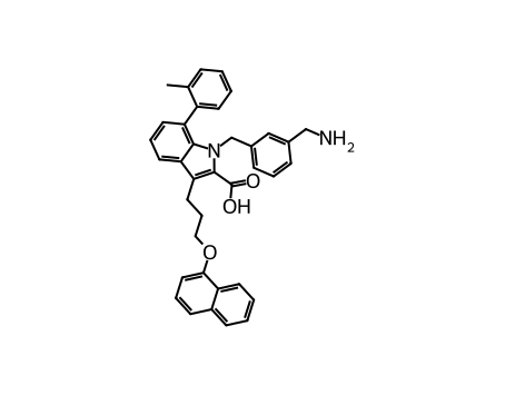 Cc1ccccc1-c1cccc2c(CCCOc3cccc4ccccc34)c(C(=O)O)n(Cc3cccc(CN)c3)c12